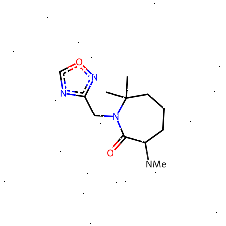 CNC1CCCC(C)(C)N(Cc2ncon2)C1=O